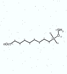 CCCCCCCCCCCCCCCC[Si](C)(C)O[SiH3]